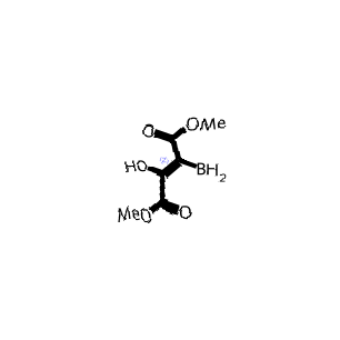 B/C(C(=O)OC)=C(/O)C(=O)OC